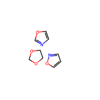 C1COCO1.c1cnoc1.c1cocn1